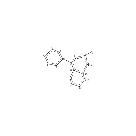 Cc1nc(-c2ccccc2)c2cccnc2n1